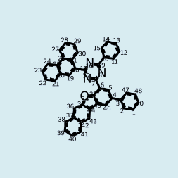 c1ccc(-c2cc(-c3nc(-c4ccccc4)nc(-c4cc5ccccc5c5ccccc45)n3)c3oc4cc5ccccc5cc4c3c2)cc1